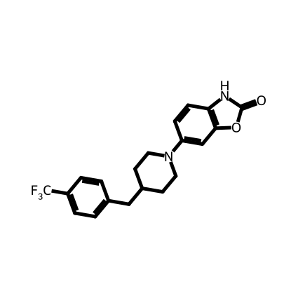 O=c1[nH]c2ccc(N3CCC(Cc4ccc(C(F)(F)F)cc4)CC3)cc2o1